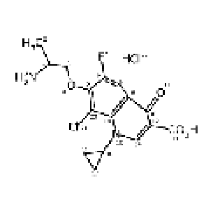 CC(N)COc1c(F)cc2c(=O)c(C(=O)O)cn(C3CC3)c2c1Cl.Cl